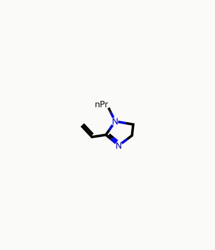 C=CC1=NCCN1CCC